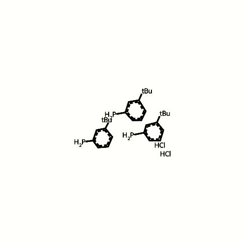 CC(C)(C)c1cccc(P)c1.CC(C)(C)c1cccc(P)c1.CC(C)(C)c1cccc(P)c1.Cl.Cl